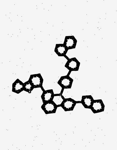 c1ccc(-c2ccc(-c3ccc4ccccc4c3)cc2N(c2ccc(-c3cccc(-c4cccc5ccccc45)c3)cc2)c2cccc(-c3cccc4c3oc3ccccc34)c2)cc1